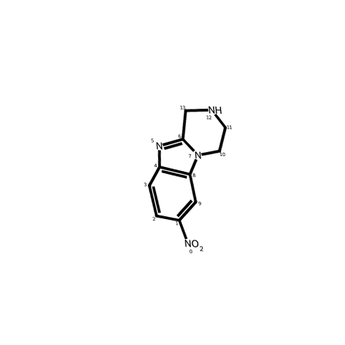 O=[N+]([O-])c1ccc2nc3n(c2c1)CCNC3